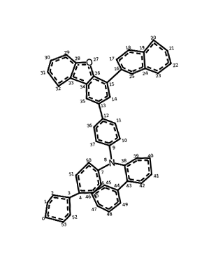 c1ccc(-c2ccc(N(c3ccc(-c4cc(-c5ccc6ccccc6c5)c5oc6ccccc6c5c4)cc3)c3ccccc3-c3ccccc3)cc2)cc1